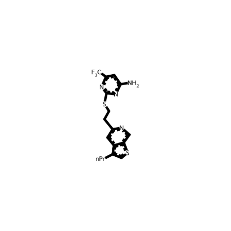 CCCc1csc2cnc(CCSc3nc(N)cc(C(F)(F)F)n3)cc12